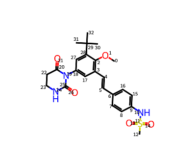 COc1c(/C=C/c2ccc(NS(C)(=O)=O)cc2)cc(N2C(=O)CCNC2=O)cc1C(C)(C)C